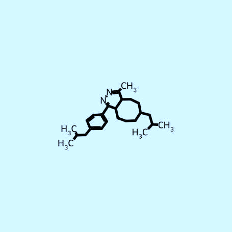 CC1=NN=C(c2ccc(CC(C)C)cc2)C2CCCC(CC(C)C)CCC12